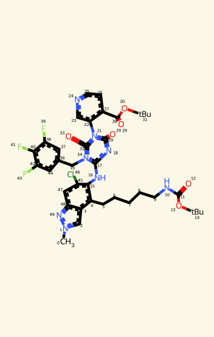 Cn1cc2c(CCCCCNC(=O)OC(C)(C)C)c(Nc3nc(=O)n(-c4cnccc4C(=O)OC(C)(C)C)c(=O)n3Cc3cc(F)c(F)c(F)c3)c(Cl)cc2n1